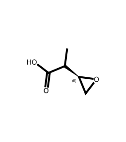 CC(C(=O)O)[C@@H]1CO1